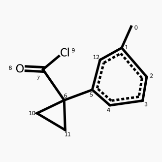 Cc1cccc(C2(C(=O)Cl)CC2)c1